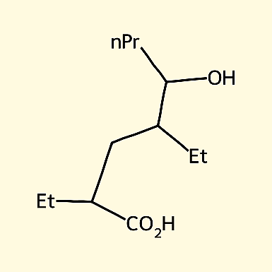 CCCC(O)C(CC)CC(CC)C(=O)O